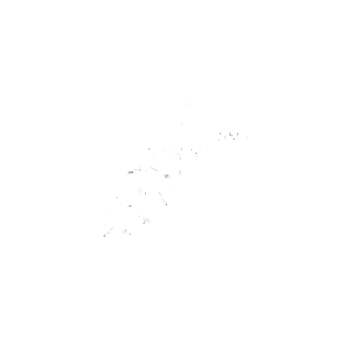 CNC1CCCC1N(C)c1ccc2c(c1)C(=O)N(C1CCC(=O)NC1=O)C2=O